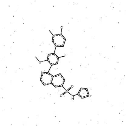 COc1cc(-c2ccc(Cl)c(C)c2)c(F)cc1-c1nccc2cc(S(=O)(=O)Nc3ccon3)ccc12